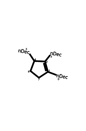 CCCCCCCCCCC1=C(CCCCCCCCCC)C(CCCCCCCCCC)CC1